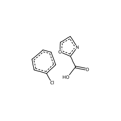 Clc1ccccc1.O=C(O)c1ncco1